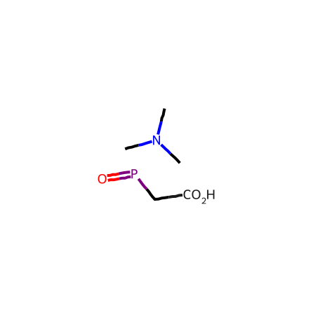 CN(C)C.O=PCC(=O)O